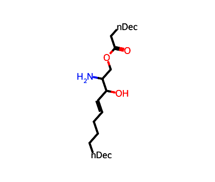 CCCCCCCCCCCCCC=CC(O)C(N)COC(=O)CCCCCCCCCCC